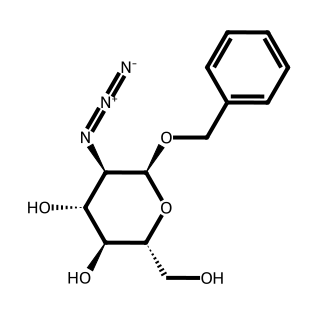 [N-]=[N+]=N[C@H]1[C@@H](OCc2ccccc2)O[C@H](CO)[C@@H](O)[C@@H]1O